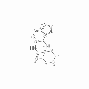 O=C1Nc2cnc3[nH]ccc3c2NC12CCOCC2